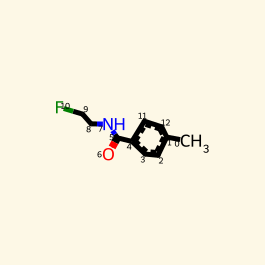 Cc1ccc(C(=O)NCCF)cc1